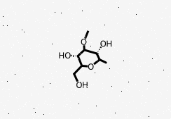 COC1[C@H](O)C(C)OC(CO)[C@@H]1O